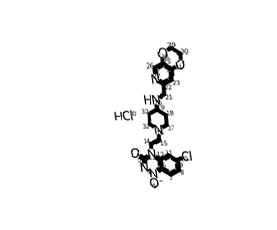 Cl.O=c1n[n+]([O-])c2ccc(Cl)cc2n1CCN1CCC(NCc2cc3c(cn2)OCCO3)CC1